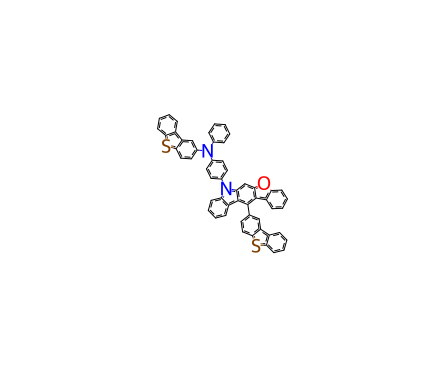 c1ccc(N(c2ccc(-n3c4ccccc4c4c(-c5ccc6sc7ccccc7c6c5)c5c(cc43)oc3ccccc35)cc2)c2ccc3sc4ccccc4c3c2)cc1